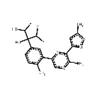 Cc1cc(-c2nc(-c3cc(C(O)(C(O)F)C(F)F)ccc3C)cnc2N)on1